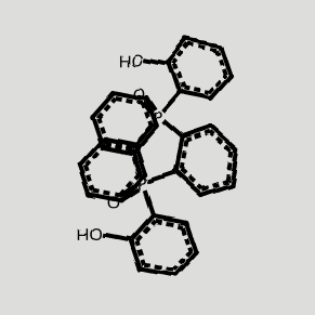 O=P(c1ccccc1)(c1ccccc1O)c1ccccc1P(=O)(c1ccccc1)c1ccccc1O